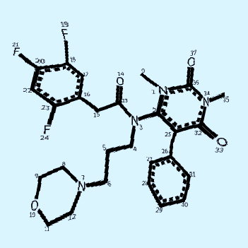 Cn1c(N(CCCN2CCOCC2)C(=O)Cc2cc(F)c(F)cc2F)c(-c2ccccc2)c(=O)n(C)c1=O